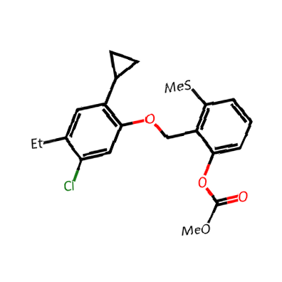 CCc1cc(C2CC2)c(OCc2c(OC(=O)OC)cccc2SC)cc1Cl